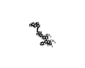 Cc1cc2c(N3CCN(C)c4cc(-c5ccc(C(=O)NCC#Cc6ccc7occ(C8CCC(=O)NC8=O)c7c6)nc5)ncc43)cc(C3CCOCC3)cc2n(C)c1=O